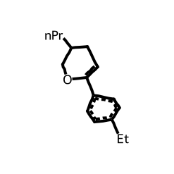 CCCC1CC=C(c2ccc(CC)cc2)OC1